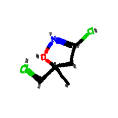 CC1(CCl)CC(Cl)=NO1